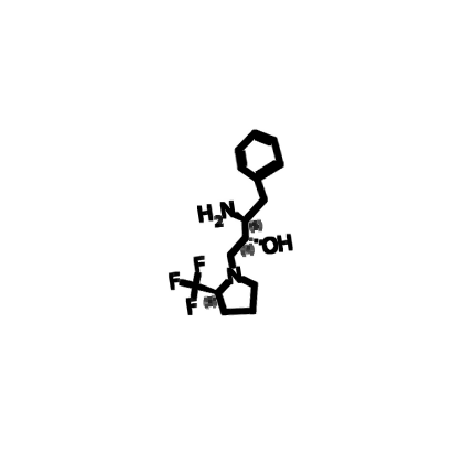 N[C@@H](Cc1ccccc1)[C@H](O)CN1CCC[C@H]1C(F)(F)F